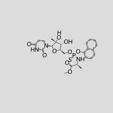 COC(=O)[C@H](C)NP(=S)(OC[C@H]1O[C@@H](n2ccc(=O)[nH]c2=O)[C@](C)(O)[C@@H]1O)Oc1cccc2ccccc12